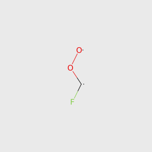 [O]O[CH]F